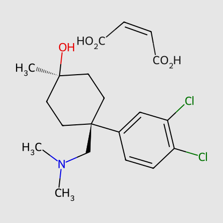 CN(C)C[C@]1(c2ccc(Cl)c(Cl)c2)CC[C@](C)(O)CC1.O=C(O)/C=C\C(=O)O